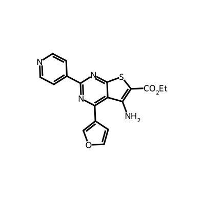 CCOC(=O)c1sc2nc(-c3ccncc3)nc(-c3ccoc3)c2c1N